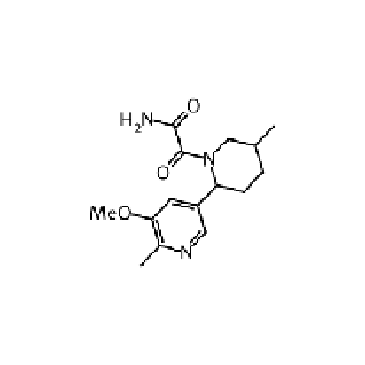 COc1cc(C2CCC(C)CN2C(=O)C(N)=O)cnc1C